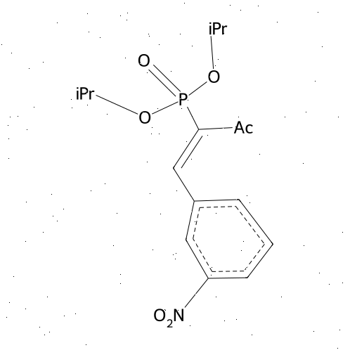 CC(=O)/C(=C\c1cccc([N+](=O)[O-])c1)P(=O)(OC(C)C)OC(C)C